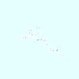 C[C@@H](O)[C@H](NC=O)C(=O)NCCNC(=O)CCS